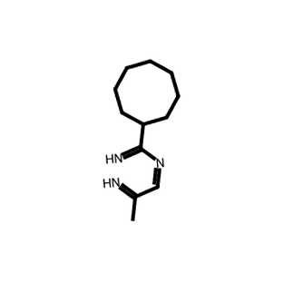 CC(=N)/C=N\C(=N)C1CCCCCCC1